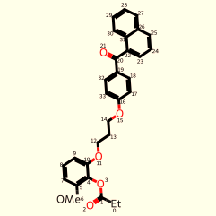 CCC(=O)Oc1c(OC)cccc1OCCCOc1ccc(C(=O)c2cccc3ccccc23)cc1